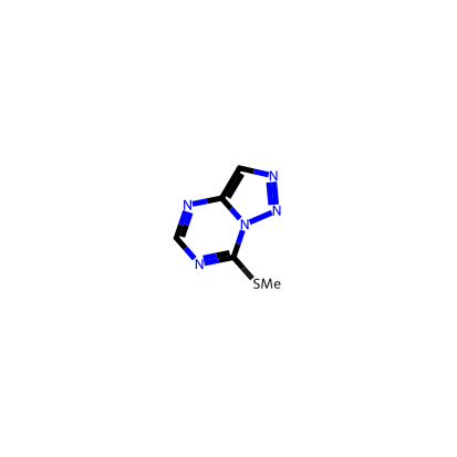 CSc1ncnc2cnnn12